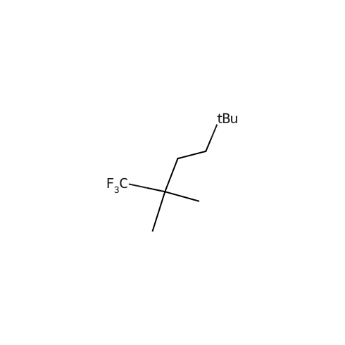 CC(C)(C)CCC(C)(C)C(F)(F)F